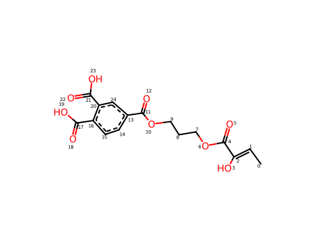 CC=C(O)C(=O)OCCCOC(=O)c1ccc(C(=O)O)c(C(=O)O)c1